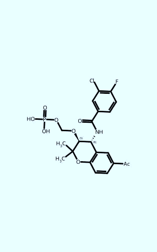 CC(=O)c1ccc2c(c1)[C@@H](NC(=O)c1ccc(F)c(Cl)c1)[C@H](OCOP(=O)(O)O)C(C)(C)O2